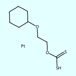 S=C(S)OCCOC1CCCCC1.[Pt]